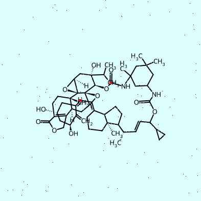 C=C1/C(=C\C=C2/CCC[C@@]3(C)C2CCC3[C@@H](C)/C=C/C(OC(=O)NC2CC(C)(C)CC(C)(NC(=O)O[C@H]3[C@]45O[C@H]4C[C@H]4C6=C(CC[C@]4(C)[C@@]54O[C@H]4C[C@@]3(O)C(C)C)C(=O)OC6)C2)C2CC2)C[C@@H](O)C[C@@H]1O